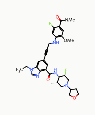 CNC(=O)c1cc(OC)c(NCC#Cc2cc(C(=O)N[C@@H]3[C@@H](C)CN(C4CCOC4)C[C@@H]3F)c3ncn(CC(F)(F)F)c3c2)cc1F